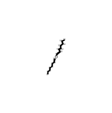 CCCCCCC=COC=CCCCCCC